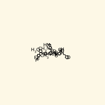 Cc1cc(C(F)(F)F)ccc1C1=C(CN2CCN(c3ccc(C(=O)NS(=O)(=O)c4ccc(NCCC5CCCOC5)c([N+](=O)[O-])c4)c(Oc4cnc5[nH]ccc5c4)c3)CC2)CCC(C)(C)C1